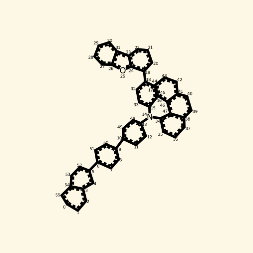 c1ccc2cc(-c3ccc(-c4ccc(N(c5ccc(-c6cccc7c6oc6ccccc67)cc5)c5cccc6ccc7ccccc7c56)cc4)cc3)ccc2c1